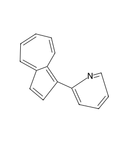 c1ccc2ccc(-c3ccccn3)c-2cc1